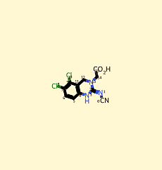 N#CN=C1Nc2ccc(Cl)c(Cl)c2CN1CC(=O)O